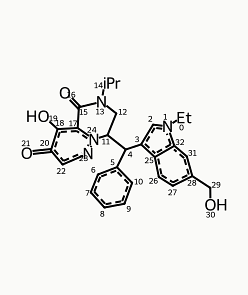 CCn1cc(C(c2ccccc2)C2CN(C(C)C)C(=O)c3c(O)c(=O)cnn32)c2ccc(CO)cc21